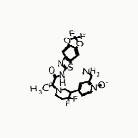 C[C@@H](C(=O)Nc1nc2cc3c(cc2s1)OC(F)(F)O3)N1CCC(F)(F)C(c2cc[n+]([O-])c(CN)c2)C1